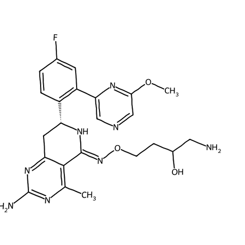 COc1cncc(-c2cc(F)ccc2[C@H]2Cc3nc(N)nc(C)c3/C(=N/OCCC(O)CN)N2)n1